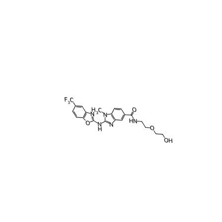 Cn1c(Nc2nc3cc(C(F)(F)F)ccc3o2)nc2cc(C(=O)NCCOCCO)ccc21